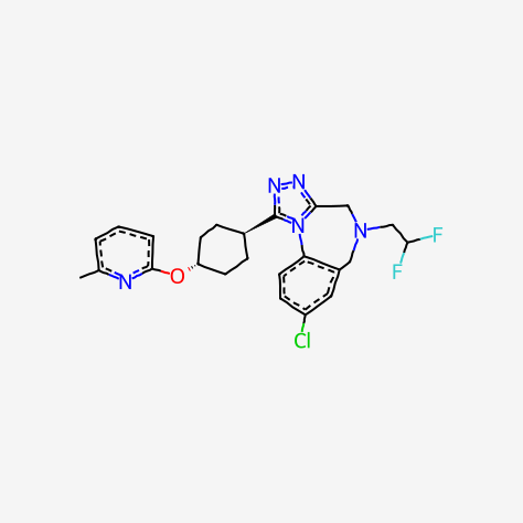 Cc1cccc(O[C@H]2CC[C@H](c3nnc4n3-c3ccc(Cl)cc3CN(CC(F)F)C4)CC2)n1